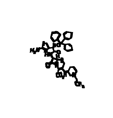 Nc1nc(/C(=N/OC(c2ccccc2)(c2ccccc2)c2ccccc2)C(=O)N[C@@H]2C(=O)N3C(C(=O)O)=C(/C=C4\CCCN(CC(F)(F)F)C4)CS[C@H]23)cs1